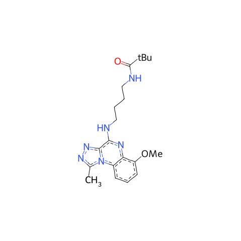 COc1cccc2c1nc(NCCCCNC(=O)C(C)(C)C)c1nnc(C)n12